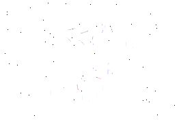 CNC(=O)[C@@H]1C[C@@H](Oc2nc(-c3ncc(OC)o3)cc3cc(OC)ccc23)CN1C(=O)[C@@H](NC(=O)OC(C)(C)C)C(C)(C)C